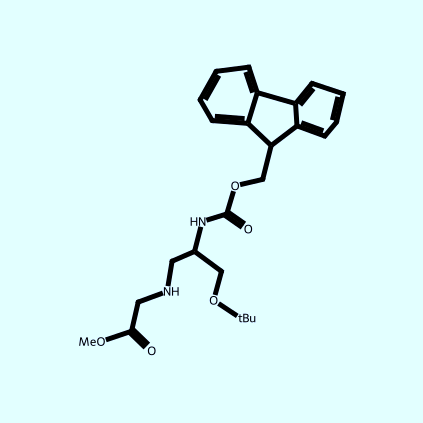 COC(=O)CNCC(COC(C)(C)C)NC(=O)OCC1c2ccccc2-c2ccccc21